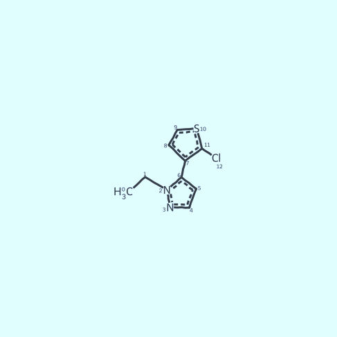 CCn1nccc1-c1ccsc1Cl